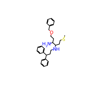 CSCCC(NCCC(c1ccccc1)c1ccccc1)C(N)CCOCc1ccccc1